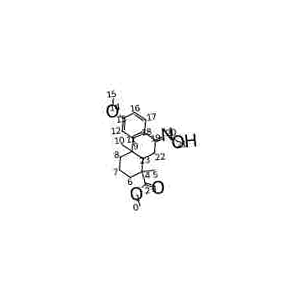 COC(=O)C1(C)CCCC2(C)c3cc(OC)ccc3C(=NO)CC12